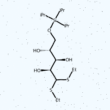 CCSC(SCC)[C@@H](O)[C@H](O)[C@H](O)CO[Si](C(C)C)(C(C)C)C(C)C